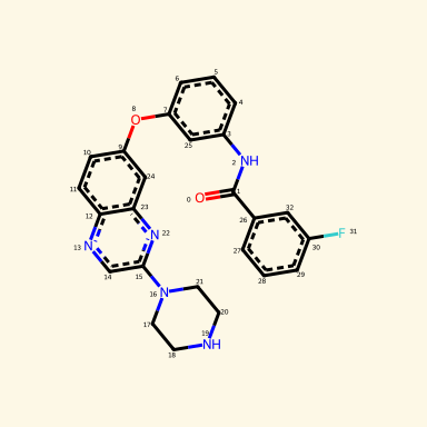 O=C(Nc1cccc(Oc2ccc3ncc(N4CCNCC4)nc3c2)c1)c1cccc(F)c1